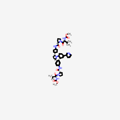 COC(=O)N[C@H](C(=O)N1CCC[C@H]1C(=O)Nc1ccc([C@@H]2CC[C@@H](c3ccc(NC(=O)[C@@H]4CCCN4C(=O)[C@@H](NC(=O)OC)C(C)C)cc3)N2c2ccc(-c3cccnc3)cc2)cc1)C(C)C